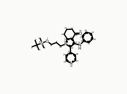 CC(C)(C)[Si](C)(C)OCCCn1c2c(c(Nc3ccccc3)c1-c1ccncc1)C(=O)CCC2